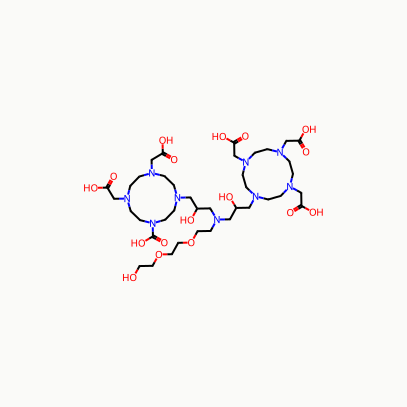 O=C(O)CN1CCN(CC(=O)O)CCN(CC(O)CN(CCOCCOCCO)CC(O)CN2CCN(CC(=O)O)CCN(CC(=O)O)CCN(C(=O)O)CC2)CCN(CC(=O)O)CC1